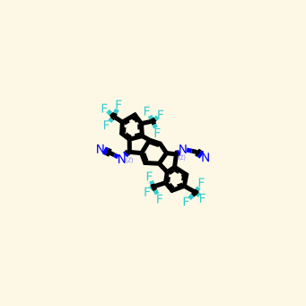 N#C/N=C1/C2=CC3c4c(cc(C(F)(F)F)cc4C(F)(F)F)/C(=N\C#N)C3C=C2c2c1cc(C(F)(F)F)cc2C(F)(F)F